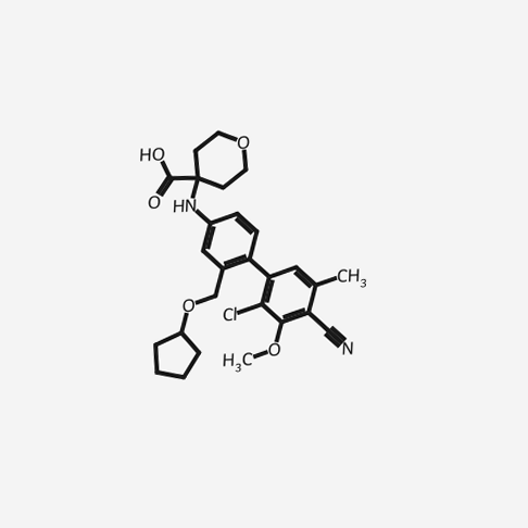 COc1c(Cl)c(-c2ccc(NC3(C(=O)O)CCOCC3)cc2COC2CCCC2)cc(C)c1C#N